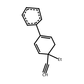 C#CC1(CC)C=CC(c2ccccc2)=CC1